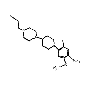 COc1cc(N2CCC(N3CCN(CCF)CC3)CC2)c(Cl)cc1N